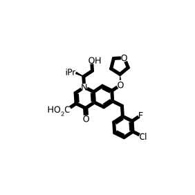 CC(C)[C@@H](CO)n1cc(C(=O)O)c(=O)c2cc(Cc3cccc(Cl)c3F)c(O[C@@H]3CCOC3)cc21